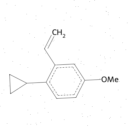 C=Cc1cc(OC)ccc1C1CC1